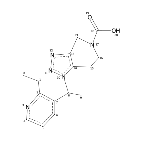 CCc1ncccc1C(C)n1nnc2c1CCN(C(=O)O)C2